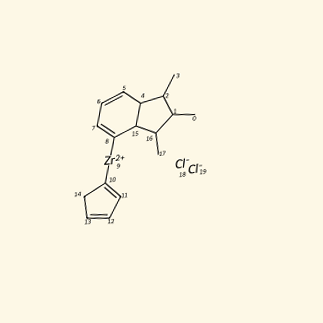 CC1C(C)C2C=CC=[C]([Zr+2][C]3=CC=CC3)C2C1C.[Cl-].[Cl-]